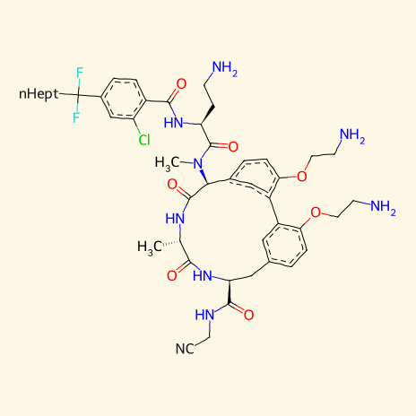 CCCCCCCC(F)(F)c1ccc(C(=O)N[C@@H](CCN)C(=O)N(C)[C@@H]2C(=O)N[C@@H](C)C(=O)N[C@H](C(=O)NCC#N)Cc3ccc(OCCN)c(c3)-c3cc2ccc3OCCN)c(Cl)c1